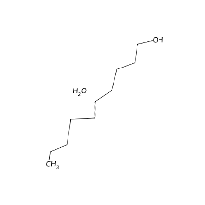 CCCCCCCCCCO.O